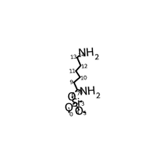 CO[Si](C)(OC)OC(N)CCCCCN